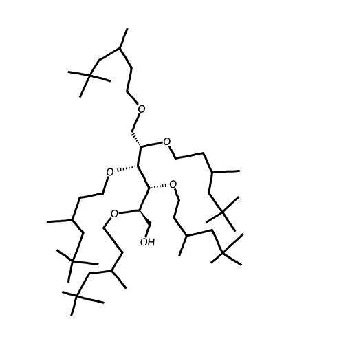 CC(CCOC[C@H](OCCC(C)CC(C)(C)C)[C@@H](OCCC(C)CC(C)(C)C)[C@H](OCCC(C)CC(C)(C)C)[C@@H](CO)OCCC(C)CC(C)(C)C)CC(C)(C)C